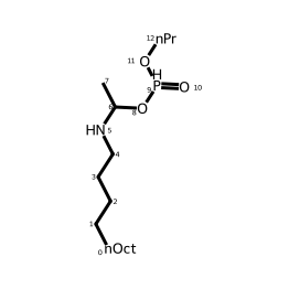 CCCCCCCCCCCCNC(C)O[PH](=O)OCCC